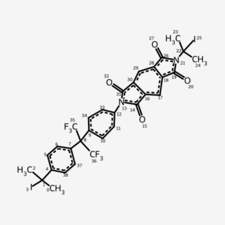 CC(C)(I)c1ccc(C(c2ccc(-n3c(=O)c4cc5c(=O)n(C(C)(C)I)c(=O)c5cc4c3=O)cc2)(C(F)(F)F)C(F)(F)F)cc1